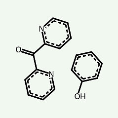 O=C(c1ccccn1)c1ccccn1.Oc1ccccc1